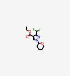 CCOC(=O)c1cn(C2CCCCO2)nc1C(F)F